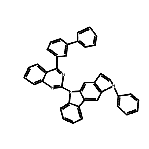 c1ccc(-c2cccc(-c3nc(-n4c5ccccc5c5cc6c(ccn6-c6ccccc6)cc54)nc4ccccc34)c2)cc1